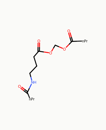 CCCC(=O)NCCCC(=O)OCOC(=O)CCC